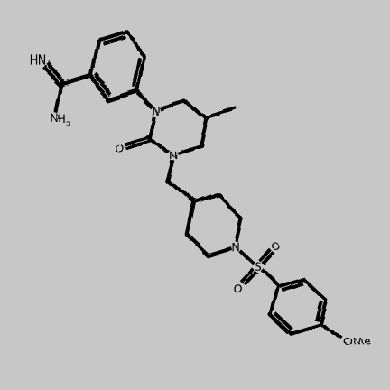 COc1ccc(S(=O)(=O)N2CCC(CN3CC(C)CN(c4cccc(C(=N)N)c4)C3=O)CC2)cc1